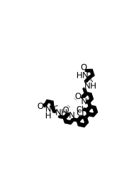 COc1nc(-c2cccc(-c3cccc(-c4ccc(CNC[C@]5(C)CCC(=O)N5)c(OC)n4)c3Cl)c2Cl)ccc1CNC[C@]1(C)CCC(=O)N1